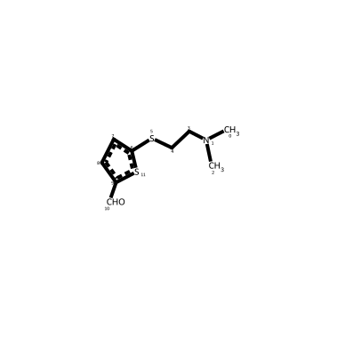 CN(C)CCSc1ccc(C=O)s1